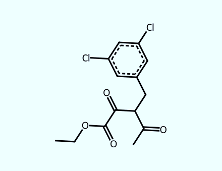 CCOC(=O)C(=O)C(Cc1cc(Cl)cc(Cl)c1)C(C)=O